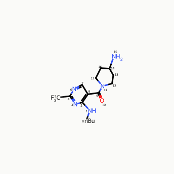 CCCCNc1nc(C(F)(F)F)ncc1C(=O)N1CCC(N)CC1